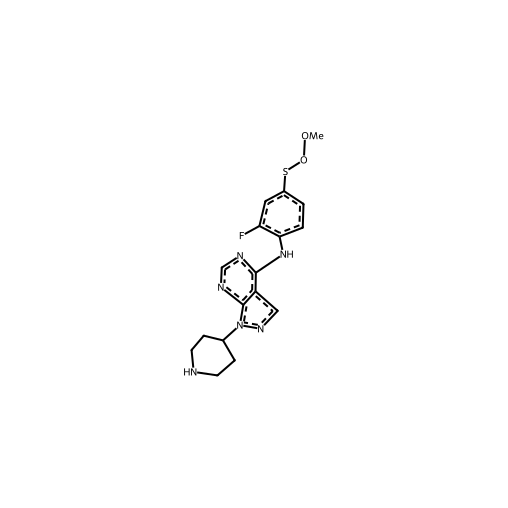 COOSc1ccc(Nc2ncnc3c2cnn3C2CCNCC2)c(F)c1